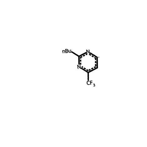 CCCCc1n[c]cc(C(F)(F)F)n1